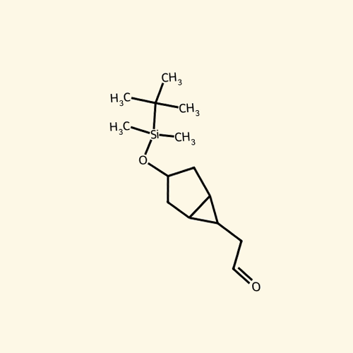 CC(C)(C)[Si](C)(C)OC1CC2C(CC=O)C2C1